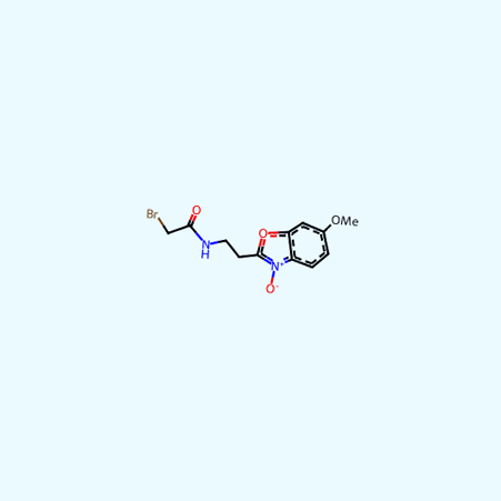 COc1ccc2c(c1)oc(CCNC(=O)CBr)[n+]2[O-]